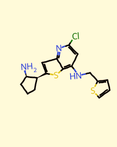 N[C@@H]1CCC[C@@H]1c1cc2nc(Cl)cc(NCc3cccs3)c2s1